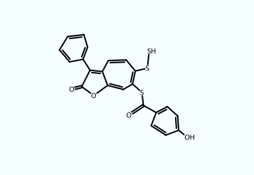 O=C(Sc1cc2oc(=O)c(-c3ccccc3)c-2ccc1SS)c1ccc(O)cc1